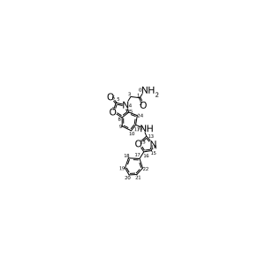 NC(=O)Cn1c(=O)oc2ccc(Nc3ncc(-c4ccccc4)o3)cc21